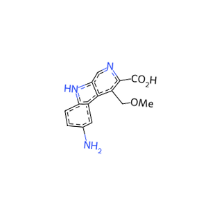 COCc1c(C(=O)O)ncc2[nH]c3ccc(N)cc3c12